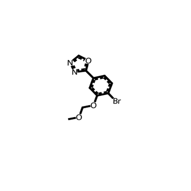 COCOc1cc(-c2nnco2)ccc1Br